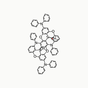 C[Si]12c3c4cc(N(c5ccccc5)c5ccccc5)cc3Oc3c5c6c(c(c31)N(c1ccccc1)c1cccc(c12)O4)Oc1cc(N(c2ccccc2)c2ccccc2)cc2c1[Si]6(C)c1c(cccc1N5c1ccccc1)O2